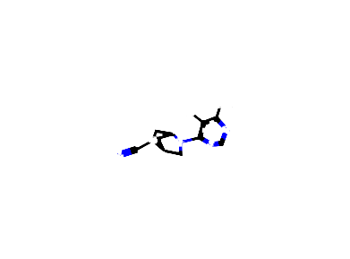 Cc1ncnc(N2CC3CC2CB3C#N)c1C